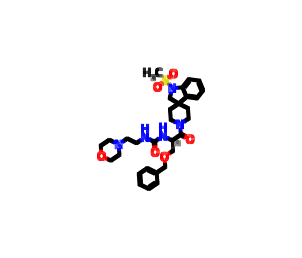 CS(=O)(=O)N1CC2(CCN(C(=O)[C@@H](COCc3ccccc3)NC(=O)NCCN3CCOCC3)CC2)c2ccccc21